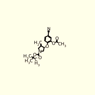 C=C1CN(C(=O)OC(C)(C)C)C[C@@H]1Oc1ccc(C#N)cc1OC(C)=O